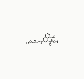 CCOCOCCSc1cc2c3c(cccc3c1)C(=O)N(O)C2=O